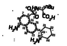 CCCCC(NS(=O)(=O)c1ccc(N)c2ccccc12)C(=O)O.NC1CCCCC1